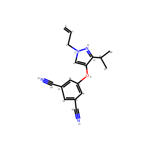 C=CCn1cc(Oc2cc(C#N)cc(C#N)c2)c(C(C)C)n1